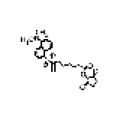 CN(C)c1cccc2c(S(=O)(=O)NCCCCCC(=O)ON3C(=O)CCC3=O)cccc12